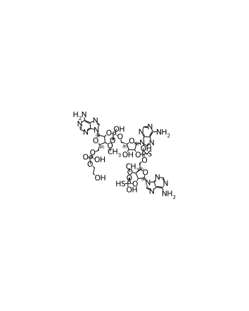 COC1C(OP(=O)(O)S)[C@H](n2cnc3c(N)ncnc32)O[C@@H]1COP(O)(=S)OC1C(O)[C@@H](COP(=O)(O)OC2C(OC)[C@@H](COP(=O)(O)OCCO)O[C@H]2n2cnc3c(N)ncnc32)O[C@H]1n1cnc2c(N)ncnc21